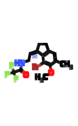 COc1c(C)cc2c(c1Br)/C(=C\CNC(=O)C(F)(F)F)CC2